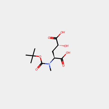 CN(C(=O)OC(C)(C)C)[C@@H](C[C@@H](O)C(=O)O)C(=O)O